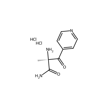 C[C@@](N)(C(N)=O)C(=O)c1ccncc1.Cl.Cl